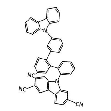 N#Cc1ccc(-c2cccc(-n3c4ccccc4c4ccccc43)c2)c(-c2ccccc2-n2c3ccc(C#N)cc3c3ccc(C#N)cc32)c1